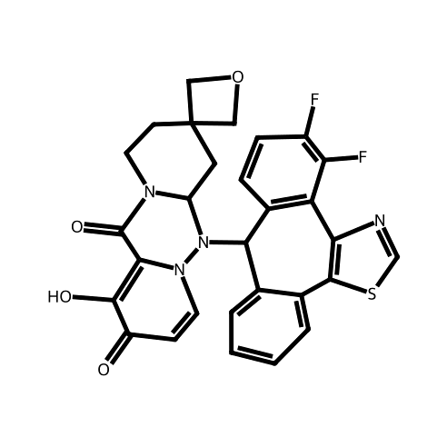 O=C1c2c(O)c(=O)ccn2N(C2c3ccccc3-c3scnc3-c3c2ccc(F)c3F)C2CC3(CCN12)COC3